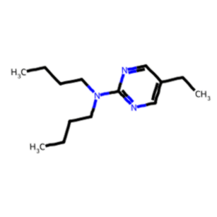 CCCCN(CCCC)c1ncc(CC)cn1